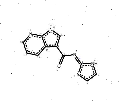 O=C(/N=c1/[nH]ccs1)c1c[nH]c2ncccc12